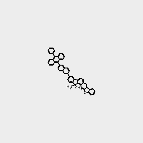 CC1(C)c2ccc(-c3ccc4cc(-c5c6ccccc6c(-c6ccccc6)c6ccccc56)ccc4c3)cc2-c2ccc3cc4c(cc3c21)oc1ccccc14